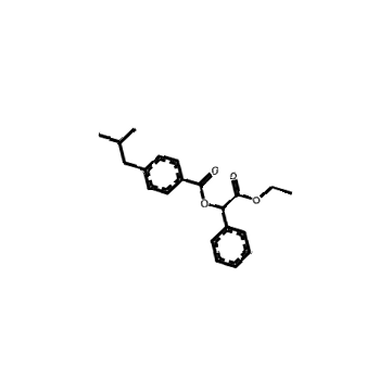 CCOC(=O)C(OC(=O)c1ccc(CC(C)C)cc1)c1ccccc1